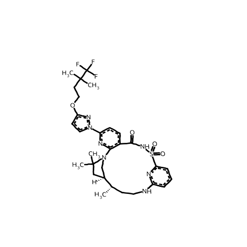 C[C@H]1CCNc2cccc(n2)S(=O)(=O)NC(=O)c2ccc(-n3ccc(OCCC(C)(C)C(F)(F)F)n3)nc2N2C[C@@H]1CC2(C)C